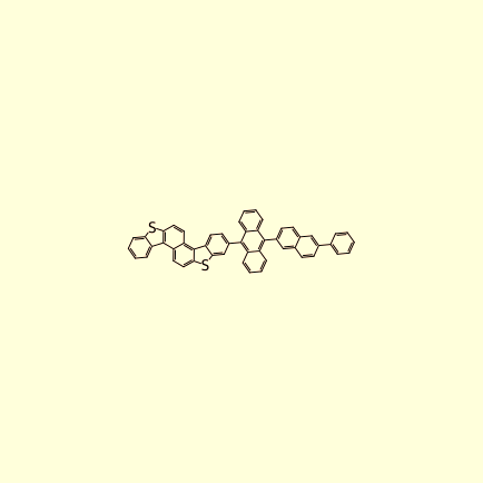 c1ccc(-c2ccc3cc(-c4c5ccccc5c(-c5ccc6c(c5)sc5ccc7c(ccc8sc9ccccc9c87)c56)c5ccccc45)ccc3c2)cc1